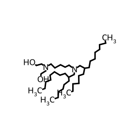 CCCCCCCCC(CCCCCC)CN(CCCCCN(CCO)CCO)CC(CCCCCC)CCCCCCCC